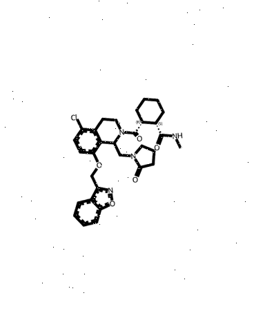 CNC(=O)[C@H]1CCCC[C@H]1C(=O)N1CCc2c(Cl)ccc(OCc3noc4ccccc34)c2C1CN1CCCC1=O